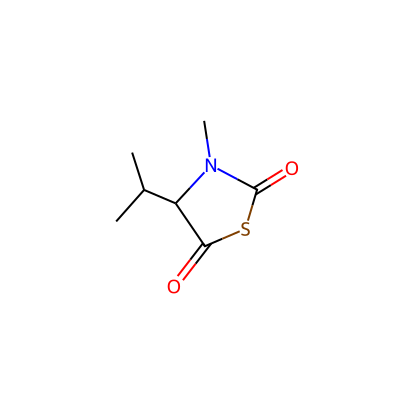 CC(C)C1C(=O)SC(=O)N1C